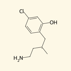 C[C](CCN)Cc1ccc(Cl)cc1O